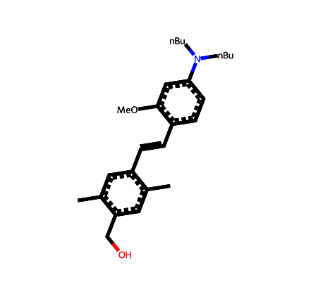 CCCCN(CCCC)c1ccc(/C=C/c2cc(C)c(CO)cc2C)c(OC)c1